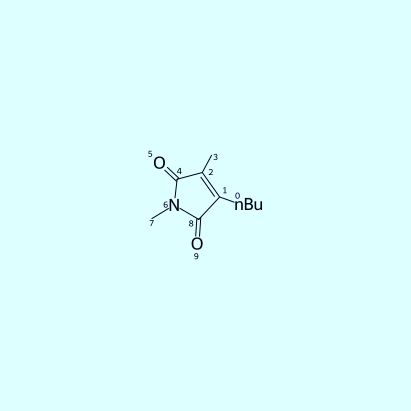 CCCCC1=C(C)C(=O)N(C)C1=O